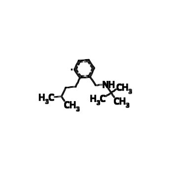 CC(C)CCc1[c]cccc1CNC(C)(C)C